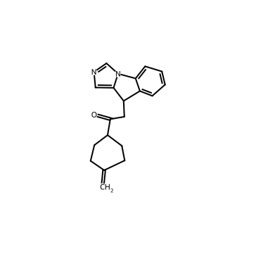 C=C1CCC(C(=O)CC2c3ccccc3-n3cncc32)CC1